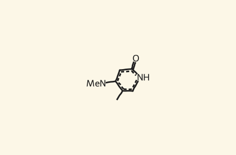 CNc1cc(=O)[nH]cc1C